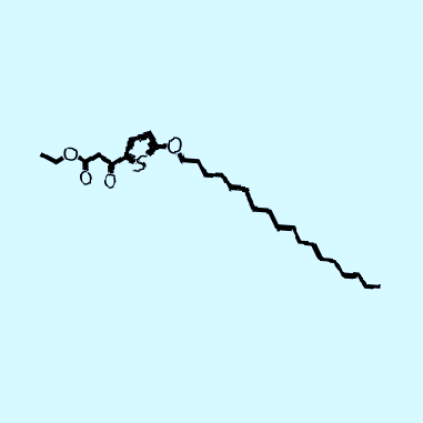 CCC=CCC=CCC=CCCCCCCCCOc1ccc(C(=O)CC(=O)OCC)s1